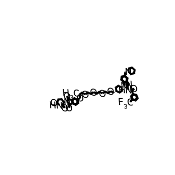 CC(COCCOCCOCCOC[C@H]1CC[C@@H](n2c(NC(=O)c3cccc(C(F)(F)F)c3)nc3cc(CN4CCCCC4)ccc32)CC1)Oc1ccc2c(c1)C(=O)N(C1CCC(=O)NC1=O)C2=O